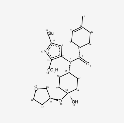 CC1=CC[C@@H](C(=O)N(c2cc(C(C)(C)C)sc2C(=O)O)[C@H]2CC[C@](O)(O[C@H]3CCOC3)CC2)CC1